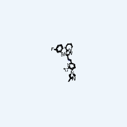 COc1nc(/C=C/c2nc3n(n2)CCC[C@H]3c2ccc(F)cc2Br)ccc1-n1cnc(C)c1